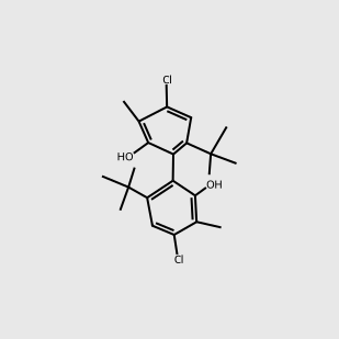 Cc1c(Cl)cc(C(C)(C)C)c(-c2c(C(C)(C)C)cc(Cl)c(C)c2O)c1O